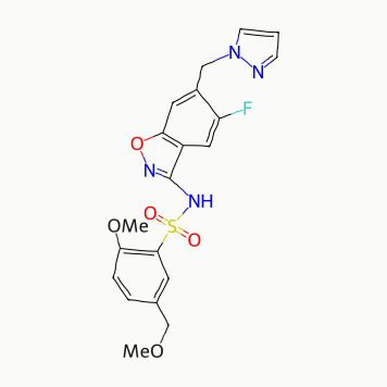 COCc1ccc(OC)c(S(=O)(=O)Nc2noc3cc(Cn4cccn4)c(F)cc23)c1